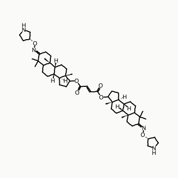 CC1(C)/C(=N/O[C@@H]2CCNC2)CC[C@@]2(C)C1CC[C@@H]1[C@H]2CC[C@]2(C)C(OC(=O)/C=C/C(=O)OC3CC[C@H]4[C@@H]5CCC6C(C)(C)/C(=N/O[C@@H]7CCNC7)CC[C@]6(C)[C@@H]5CC[C@]34C)CC[C@@H]12